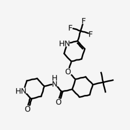 CC(C)(C)C1CCC(C(=O)NC2CCNC(=O)C2)C(OC2CC=C(C(F)(F)F)NC2)C1